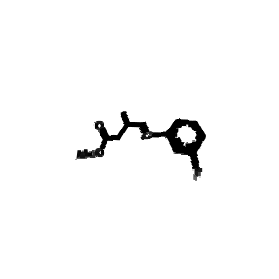 COC(=O)CC(C)COc1cccc(F)c1